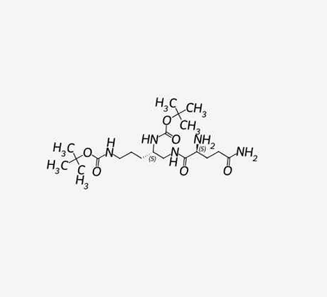 CC(C)(C)OC(=O)NCCC[C@@H](CNC(=O)[C@@H](N)CCC(N)=O)NC(=O)OC(C)(C)C